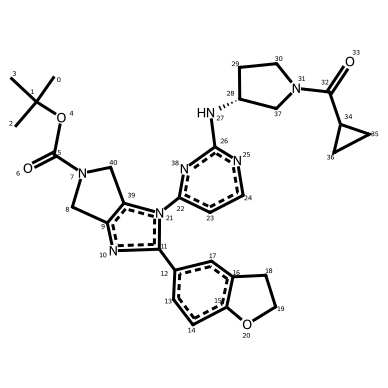 CC(C)(C)OC(=O)N1Cc2nc(-c3ccc4c(c3)CCO4)n(-c3ccnc(N[C@@H]4CCN(C(=O)C5CC5)C4)n3)c2C1